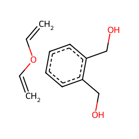 C=COC=C.OCc1ccccc1CO